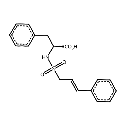 O=C(O)[C@H](Cc1ccccc1)NS(=O)(=O)CC=Cc1ccccc1